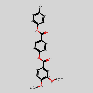 CCCCCCCCCOc1ccc(C(=O)Oc2ccc(C(=O)Oc3ccc(C#N)cc3)cc2)cc1OCCCCCCCCC